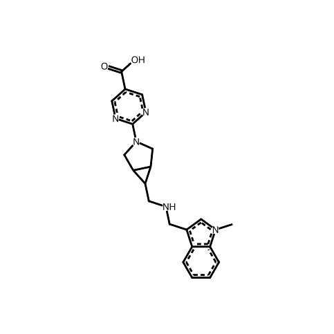 Cn1cc(CNCC2C3CN(c4ncc(C(=O)O)cn4)CC23)c2ccccc21